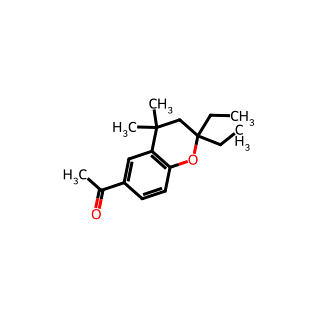 CCC1(CC)CC(C)(C)c2cc(C(C)=O)ccc2O1